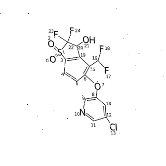 O=S1(=O)c2ccc(Oc3cncc(Cl)c3)c(C(F)F)c2C(O)C1(F)F